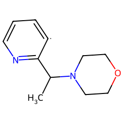 CC(c1[c]cccn1)N1CCOCC1